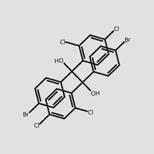 OC(c1ccc(Br)cc1)(c1ccc(Cl)cc1Cl)C(O)(c1ccc(Br)cc1)c1ccc(Cl)cc1Cl